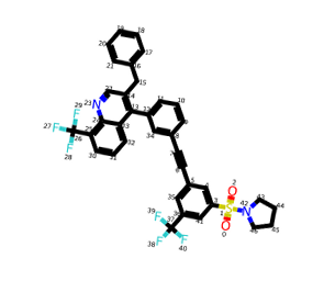 O=S(=O)(c1cc(C#Cc2cccc(-c3c(Cc4ccccc4)cnc4c(C(F)(F)F)cccc34)c2)cc(C(F)(F)F)c1)N1CCCC1